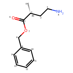 C[C@H](CCN)C(=O)OCc1ccccc1